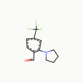 O=Cc1ccc(C(F)(F)F)cc1N1CCCC1